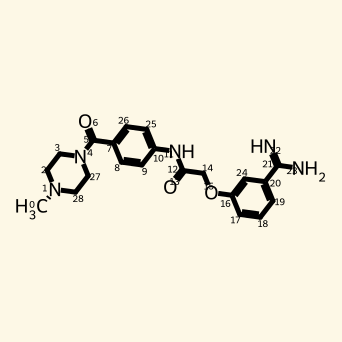 CN1CCN(C(=O)c2ccc(NC(=O)COc3cccc(C(=N)N)c3)cc2)CC1